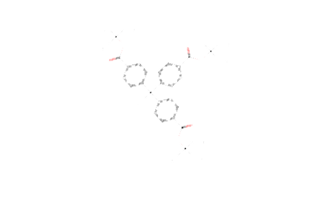 CC(C)(C)OC(=O)c1ccc(C(C)(c2ccc(C(=O)OC(C)(C)C)cc2)c2ccc(C(=O)OC(C)(C)C)cc2)cc1